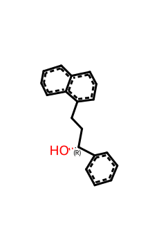 O[C@H](CCc1cccc2ccccc12)c1ccccc1